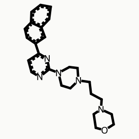 c1ccc2cc(-c3ccnc(N4CCN(CCCN5CCOCC5)CC4)n3)ccc2c1